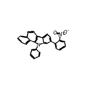 O=[N+]([O-])c1ccccc1-c1ccc2c3ccc4ccccc4c3n(-c3ccccc3)c2c1